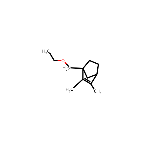 CCO[SiH2]C12CCC(C1)C(C)=C2C